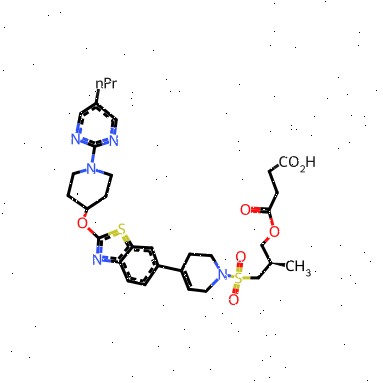 CCCc1cnc(N2CCC(Oc3nc4ccc(C5=CCN(S(=O)(=O)C[C@H](C)COC(=O)CCC(=O)O)CC5)cc4s3)CC2)nc1